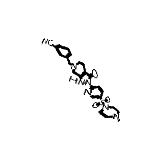 CN1CCN(S(=O)(=O)c2ccc(-n3[nH]c4c(c3=O)CCN(Cc3cccc(C#N)c3)C4)nc2)CC1